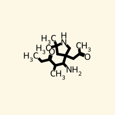 CCC(=O)C(C)C(N)C1(CC(C)=O)CNC(C)(C)C1